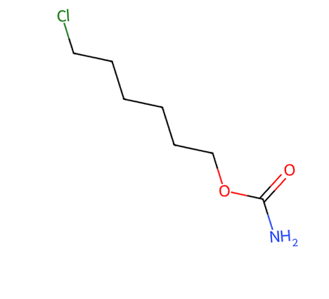 NC(=O)OCCCCCCCl